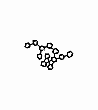 c1ccc(-c2ccc(-c3cc4c(cc3-c3cccc(-c5cccc(-c6cc(-c7cccc(-c8ccccc8)c7)cc(-c7ccccc7)n6)c5)c3)C3(c5ccccc5-c5ccccc53)c3ccccc3-4)cc2)cc1